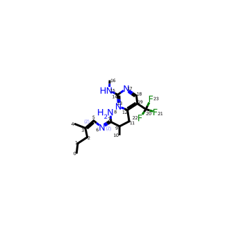 CCC/C(C)=C\N=C(/N)C(C)Cc1nc(NC)ncc1C(F)(F)F